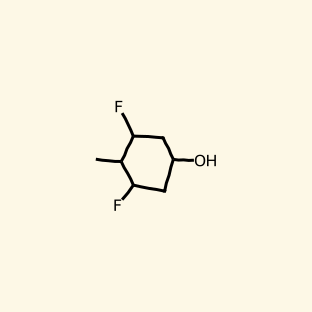 CC1C(F)CC(O)CC1F